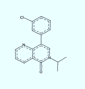 CC(C)n1cc(-c2cccc(Cl)c2)c2ncccc2c1=O